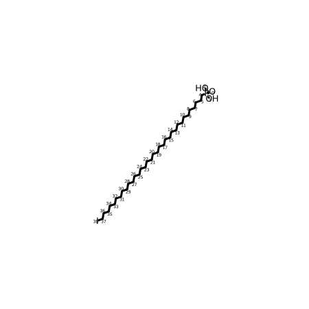 O=P(O)(O)CCCCCCCCCCCCCCCCCCCCCCCCCCCCCCCCCCI